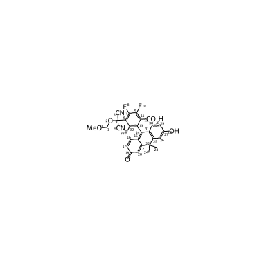 COCOC(C#N)(C#N)c1c(F)c(F)c(C(=O)O)c(C2=C3C=CC(=O)C=C3C(C)(C)c3cc(O)ccc32)c1F